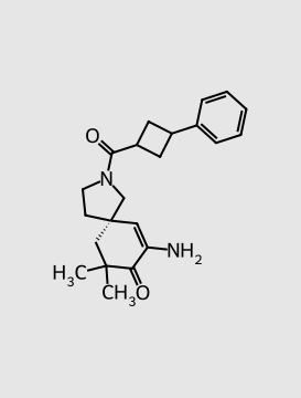 CC1(C)C[C@]2(C=C(N)C1=O)CCN(C(=O)C1CC(c3ccccc3)C1)C2